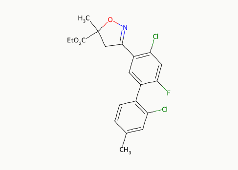 CCOC(=O)C1(C)CC(c2cc(-c3ccc(C)cc3Cl)c(F)cc2Cl)=NO1